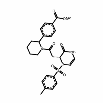 COC(=O)c1ccc(C2CCCCN2C(=O)C[C@@H]2C(=O)NC=CN2S(=O)(=O)c2ccc(C)cc2)cc1